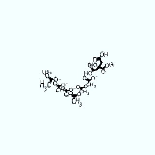 CC(=O)[O-].CC(=O)[O-].CC(=O)[O-].CC(=O)[O-].CC(=O)[O-].CC(=O)[O-].O=C(O)CC(O)(CC(=O)O)C(=O)O.[U+6]